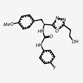 COc1ccc(C[C@H](NC(=O)Nc2ccc(F)cc2)c2nnc(CCO)o2)cc1